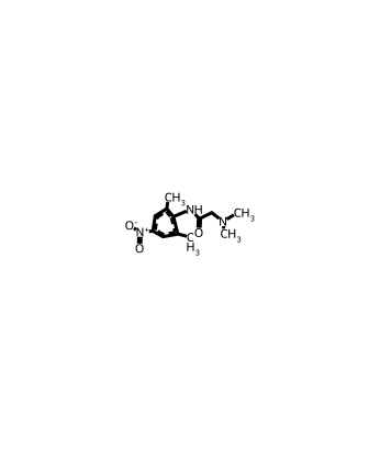 Cc1cc([N+](=O)[O-])cc(C)c1NC(=O)CN(C)C